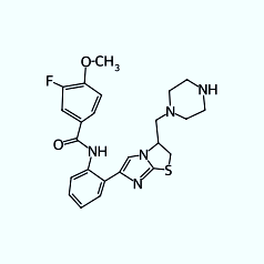 COc1ccc(C(=O)Nc2ccccc2-c2cn3c(n2)SCC3CN2CCNCC2)cc1F